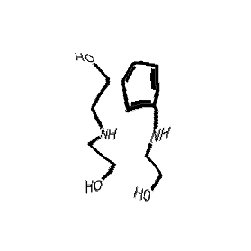 OCCNCCO.OCCNc1ccccc1